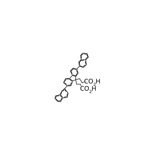 O=C(O)CCC1(CCC(=O)O)c2cc(-c3ccc4ccccc4c3)ccc2-c2ccc(-c3ccc4ccccc4c3)cc21